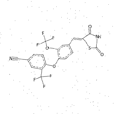 N#Cc1ccc(Oc2ccc(/C=C3\SC(=O)NC3=O)cc2OC(F)(F)F)c(C(F)(F)F)c1